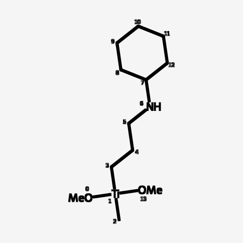 C[O][Ti]([CH3])([CH2]CCNC1CCCCC1)[O]C